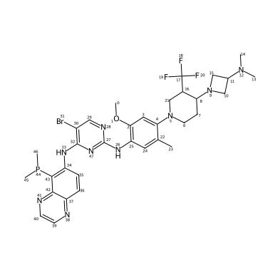 COc1cc(N2CCC(N3CC(N(C)C)C3)C(C(F)(F)F)C2)c(C)cc1Nc1ncc(Br)c(Nc2ccc3nccnc3c2P(C)C)n1